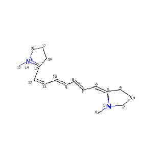 CN1CCC/C1=C/C=C/C=C/C=C\C1=[N+](C)CCC1